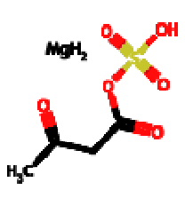 CC(=O)CC(=O)OS(=O)(=O)O.[MgH2]